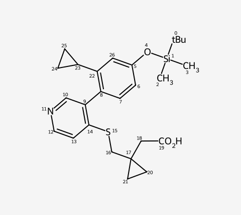 CC(C)(C)[Si](C)(C)Oc1ccc(-c2cnccc2SCC2(CC(=O)O)CC2)c(C2CC2)c1